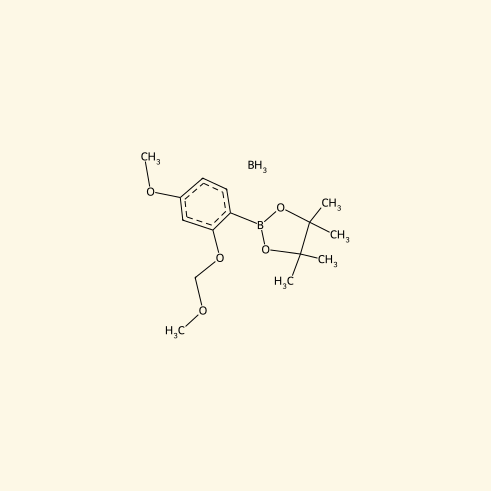 B.COCOc1cc(OC)ccc1B1OC(C)(C)C(C)(C)O1